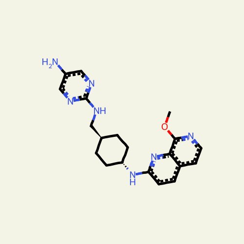 COc1nccc2ccc(N[C@H]3CC[C@H](CNc4ncc(N)cn4)CC3)nc12